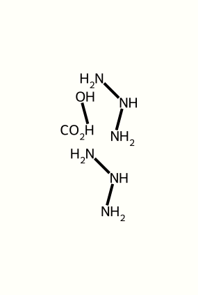 NNN.NNN.O=C(O)O